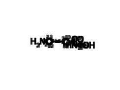 Nc1ccc(C#Cc2ccc(C(=O)N[C@@H]3CN(O)C3=O)cc2)cc1